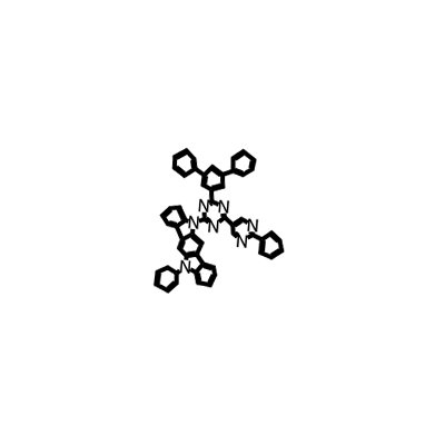 C1=CCC(n2c3ccccc3c3cc4c(cc32)c2ccccc2n4-c2nc(-c3cnc(-c4ccccc4)nc3)nc(-c3cc(-c4ccccc4)cc(-c4ccccc4)c3)n2)C=C1